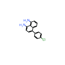 Nc1cccc2c(-c3ccc(Cl)cc3)ccc(N)c12